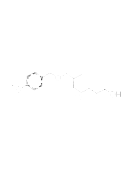 COc1ccc(COCC(C)C[C@@H](C)CCCO)cc1